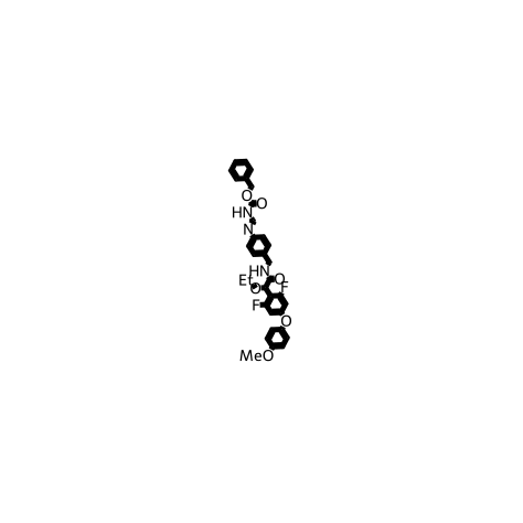 CCOC(C(=O)NCc1ccc(/N=C/NC(=O)OCc2ccccc2)cc1)c1c(F)cc(Oc2ccc(OC)cc2)cc1F